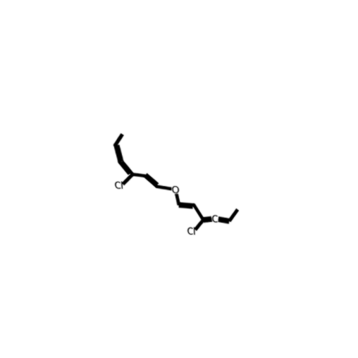 CC=C=C(Cl)C=COC=CC(Cl)=C=CC